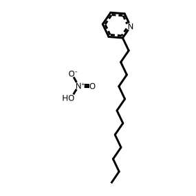 CCCCCCCCCCCCc1ccccn1.O=[N+]([O-])O